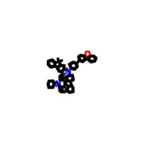 CC1(C)c2ccccc2-c2ccc(N(c3ccc(-c4ccc5oc6ccccc6c5c4)cc3)c3ccc4c(c3)C3(c5ccccc5-4)c4ccccc4N(c4ccccc4)c4ccccc43)cc21